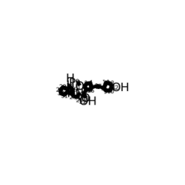 CC(C)Oc1ccc(C#Cc2ccc(O)cc2)cc1C(=O)N[C@@H](CO)Cc1c[nH]c2ccccc12